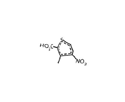 Cc1c([N+](=O)[O-])csc1C(=O)O